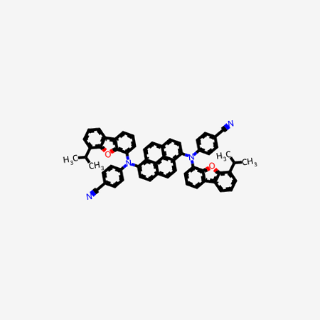 CC(C)c1cccc2c1oc1c(N(c3ccc(C#N)cc3)c3ccc4ccc5c(N(c6ccc(C#N)cc6)c6cccc7c6oc6c(C(C)C)cccc67)ccc6ccc3c4c65)cccc12